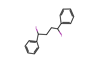 IC(CCC(I)c1ccccc1)c1ccccc1